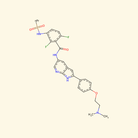 CCCS(=O)(=O)Nc1ccc(F)c(C(=O)Nc2cnc3[nH]c(-c4ccc(OCCN(C)C)cc4)cc3c2)c1F